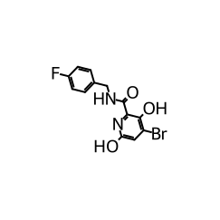 O=C(NCc1ccc(F)cc1)c1nc(O)cc(Br)c1O